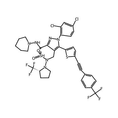 O=C(NN1CCCCC1)c1nn(-c2ccc(Cl)cc2Cl)c(-c2ccc(C#Cc3ccc(C(F)(F)F)cc3)s2)c1CN(N1CCC[C@@H]1C(F)(F)F)[SH](=O)=O